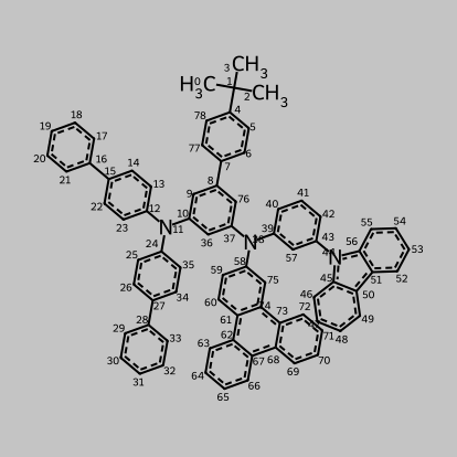 CC(C)(C)c1ccc(-c2cc(N(c3ccc(-c4ccccc4)cc3)c3ccc(-c4ccccc4)cc3)cc(N(c3cccc(-n4c5ccccc5c5ccccc54)c3)c3ccc4c5ccccc5c5ccccc5c4c3)c2)cc1